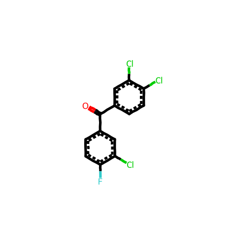 O=C(c1ccc(F)c(Cl)c1)c1ccc(Cl)c(Cl)c1